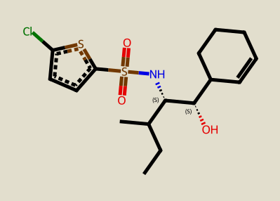 CCC(C)[C@H](NS(=O)(=O)c1ccc(Cl)s1)[C@@H](O)C1C=CCCC1